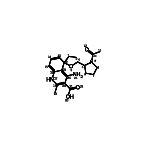 CCC1(OCC2CCCN2C(C)=O)C=CC=C2NC(C)=C(C(=O)O)C(N)=C21